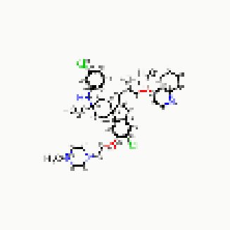 C[C@@H](COc1ccnc2c1[C@H](C)CCC2)CC1Cc2cc(Cl)c(OCCN3CCN(C)CC3)cc2C12CCC(Nc1cccc(Cl)c1)(C(=O)O)CC2